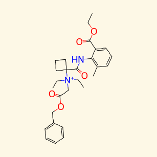 CCOC(=O)c1cccc(C)c1NC(=O)C1([N+](CC)(CC)CC(=O)OCc2ccccc2)CCC1